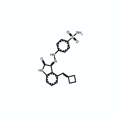 NS(=O)(=O)c1ccc(NN=C2C(=O)Nc3cccc(C=C4CCC4)c32)cc1